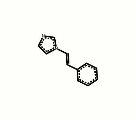 C(=Cn1ccnc1)c1ccccc1